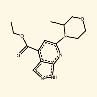 CCOC(=O)c1cc(N2CCOCC2C)nc2[nH]ncc12